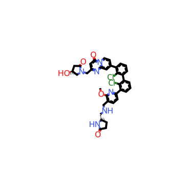 COc1nc(-c2cccc(-c3cccc(-c4ccn5c(=O)cc(CN6C[C@@H](O)CC6=O)nc5c4)c3Cl)c2Cl)ccc1CNC[C@@H]1CCC(=O)N1